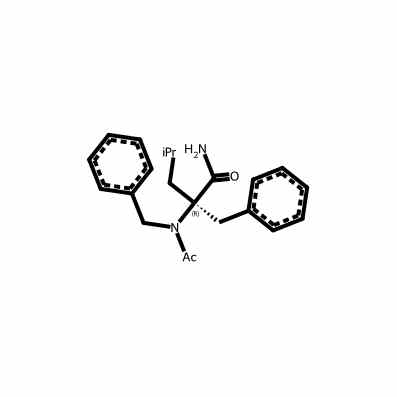 CC(=O)N(Cc1ccccc1)[C@@](Cc1ccccc1)(CC(C)C)C(N)=O